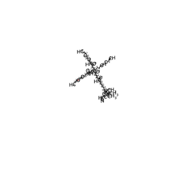 C#CCOCCOCCCCC(CCC(=O)NCCOCCOCC#C)(CCC(=O)NCCOCCOCC#C)NC(=O)CCCC(=O)NCCCCCCOP(OCCC#N)N(C(C)C)C(C)C